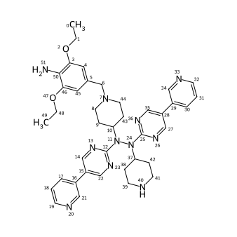 CCOc1cc(CN2CCC(N(c3ncc(-c4cccnc4)cn3)N(c3ncc(-c4cccnc4)cn3)C3CCNCC3)CC2)cc(OCC)c1N